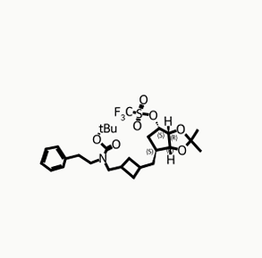 CC(C)(C)OC(=O)N(CCc1ccccc1)CC1CC(C[C@H]2C[C@H](OS(=O)(=O)C(F)(F)F)[C@@H]3OC(C)(C)O[C@H]23)C1